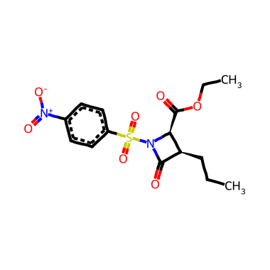 CCC[C@H]1C(=O)N(S(=O)(=O)c2ccc([N+](=O)[O-])cc2)[C@H]1C(=O)OCC